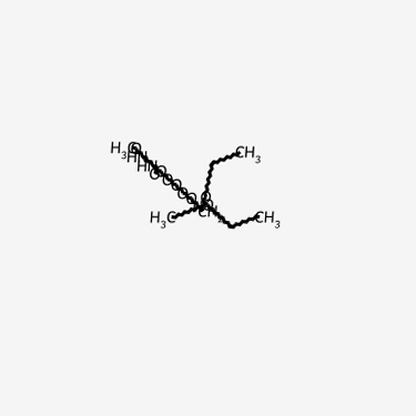 C=C(C(COCCCCCCCC/C=C\CCCCCCCC)OCCCCCCCC/C=C\CCCCCCCC)N(CCCCCCCC)CCOCCOCCOCCOCCOC(=O)CNCCCNCCOC